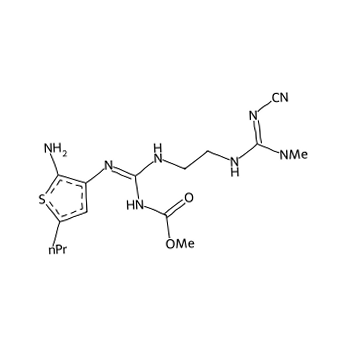 CCCc1cc(N=C(NCCNC(=NC#N)NC)NC(=O)OC)c(N)s1